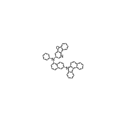 c1ccc(N(c2cnc3c(c2)oc2ccccc23)c2cccc3cc(-n4c5ccccc5c5c6ccccc6ccc54)ccc23)cc1